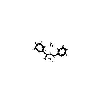 PC(CCc1ccccc1)c1ccccc1.[Ni]